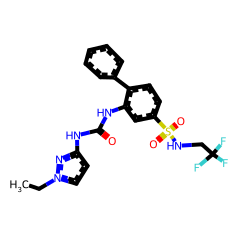 CCn1ccc(NC(=O)Nc2cc(S(=O)(=O)NCC(F)(F)F)ccc2-c2ccccc2)n1